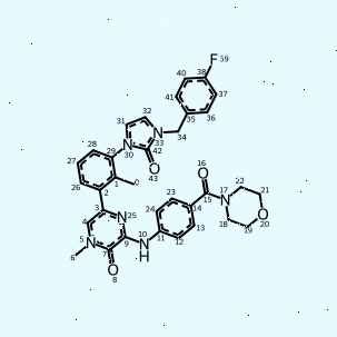 Cc1c(-c2cn(C)c(=O)c(Nc3ccc(C(=O)N4CCOCC4)cc3)n2)cccc1-n1ccn(Cc2ccc(F)cc2)c1=O